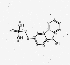 CCn1c2ccccc2c2cc(CCP(=O)(O)O)ccc21